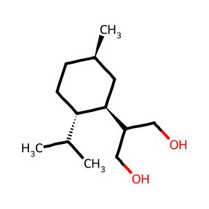 CC(C)[C@@H]1CC[C@@H](C)C[C@H]1C(CO)CO